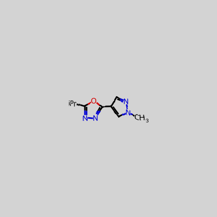 CC(C)c1nnc(-c2cnn(C)c2)o1